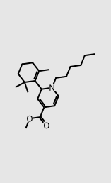 CCCCCCN1C=CC(C(=O)OC)=CC1C1=C(C)CCCC1(C)C